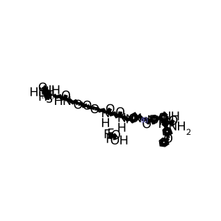 NC(=O)c1c(-c2ccc(Oc3ccccc3)cc2)nn2c1NCC[C@H]2C1CCN(C(=O)/C=C/CN2CCN(CCNC(=O)CCCC(=O)NCCCOCCOCCOCCCNC(=O)CCCC[C@H]3SC[C@H]4NC(=O)N[C@H]43)CC2)CC1.O=C(O)C(F)(F)F